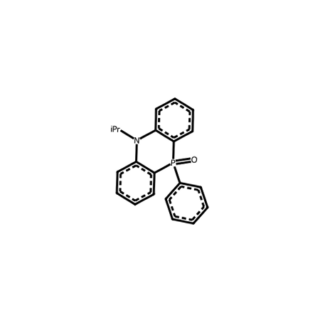 CC(C)N1c2ccccc2P(=O)(c2ccccc2)c2ccccc21